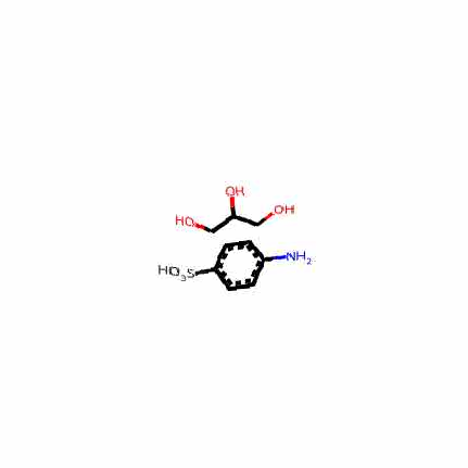 Nc1ccc(S(=O)(=O)O)cc1.OCC(O)CO